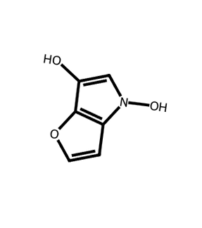 Oc1cn(O)c2ccoc12